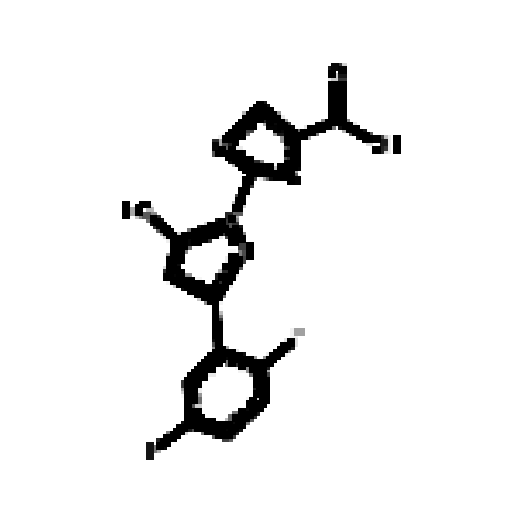 O=C(O)c1csc(-n2nc(-c3cc(F)ccc3F)cc2O)n1